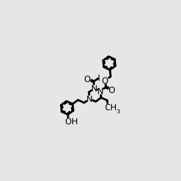 CCC1CN(CCc2cccc(O)c2)CN(C(=O)I)N1C(=O)OCc1ccccc1